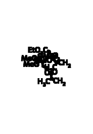 C=C(C)C(=O)OC.C=C(C)C(=O)OCCC[Si](OC)(OC)OC.C=CC(=O)OCC